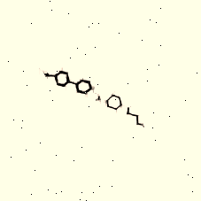 CCCCC[C@H]1CC[C@H](C(=O)Oc2ccc(-c3ccc(C#N)cc3)cc2)CC1